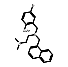 COc1ccc(Br)cc1CN(CCN(C)C)Cc1cccc2ccccc12